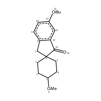 COC1CCC2(CC1)Cc1ccc(OCC(C)C)cc1C2=O